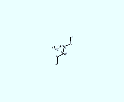 CCNNCC.O